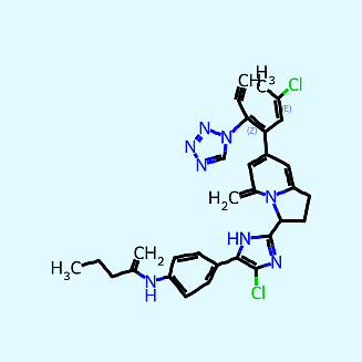 C#C/C(=C(\C=C(/C)Cl)C1=CC(=C)N2C(=C1)CCC2c1nc(Cl)c(-c2ccc(NC(=C)CCC)cc2)[nH]1)n1cnnn1